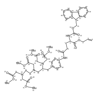 C=CCOC(=O)C(CCC(=O)Nc1ccc(CC(CN(CCN(CC(=O)OC(C)(C)C)CC(=O)OC(C)(C)C)CC(=O)OC(C)(C)C)N(CC(=O)OC(C)(C)C)CC(=O)OC(C)(C)C)cc1)NC(=O)OCC1c2ccccc2-c2ccccc21